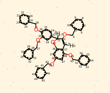 [2H]C1=C(OCc2ccccc2)C([2H])(c2ccc(OCc3ccccc3)c(OCc3ccccc3)c2)Oc2cc(OCc3ccccc3)cc(OCc3ccccc3)c21